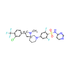 CN(C)[C@@]1(CCc2ccc(C(F)(F)F)c(Cl)c2)CCCN(c2cc(F)c(S(=O)(=O)Nc3ccncn3)c(F)c2)C1